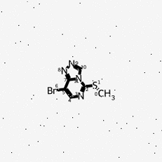 CSc1ncc(Br)c2nncn12